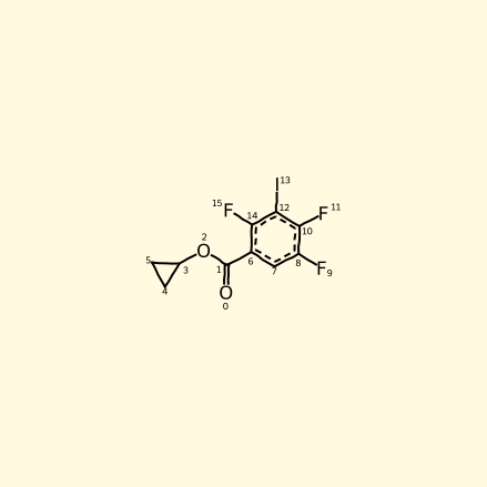 O=C(OC1CC1)c1cc(F)c(F)c(I)c1F